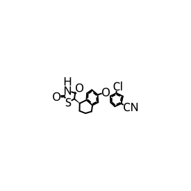 N#Cc1ccc(Oc2ccc3c(c2)CCC[C@H]3C2SC(=O)NC2=O)c(Cl)c1